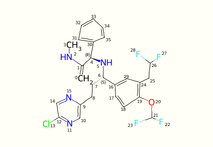 C=C(NC)[C@H](N[C@@H](CCc1cnc(Cl)cn1)c1ccc(OC(F)F)c(CC(F)F)c1)c1ccccc1